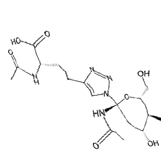 CC(=O)N[C@@H](CCc1cn([C@@]2(NC(C)=O)C[C@@H](O)[C@H](O)[C@@H](CO)O2)nn1)C(=O)O